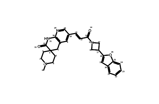 CN1CCC2(CC1)Cc1cc(C=CC(=O)N3CC(c4cc5ccccc5o4)C3)cnc1NC2=O